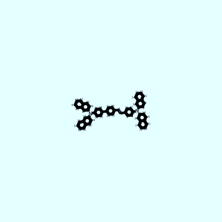 C(=C\c1ccc(N(c2ccc3ccccc3c2)c2ccc3ccccc3c2)cc1)/c1ccc(-c2ccc(N(c3ccc4ccccc4c3)c3ccc4ccccc4c3)cc2)cc1